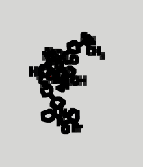 Cc1ncsc1-c1ccc([C@H](Cn2cc(C3CCC(CN4CCC(c5ccc6c(c5)C5(CCCCC5)c5nc(=O)c7c(Br)cccc7n5-6)CC4)CC3)nn2)NC(=O)[C@@H]2C[C@@H](O)CN2C(=O)[C@@H](NC(=O)C2(F)CC2)C(C)(C)C)cc1